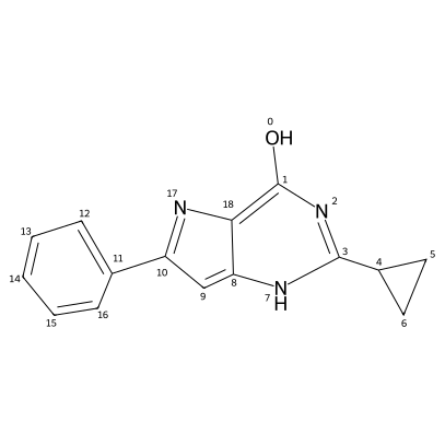 Oc1nc(C2CC2)[nH]c2cc(-c3ccccc3)nc1-2